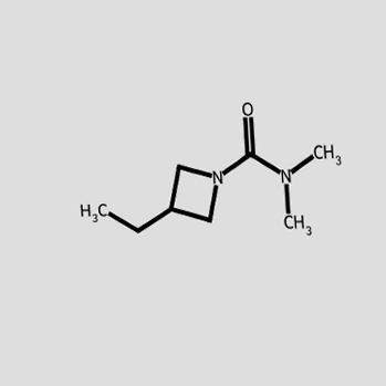 CCC1CN(C(=O)N(C)C)C1